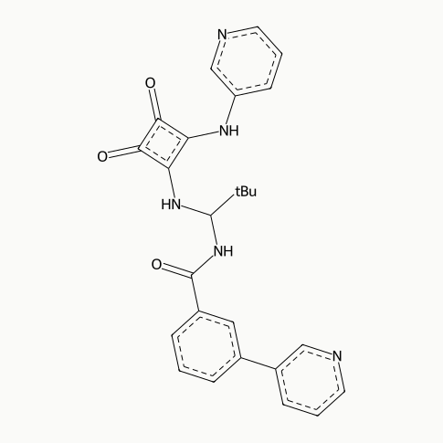 CC(C)(C)C(NC(=O)c1cccc(-c2cccnc2)c1)Nc1c(Nc2cccnc2)c(=O)c1=O